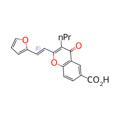 CCCc1c(/C=C/c2ccco2)oc2ccc(C(=O)O)cc2c1=O